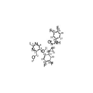 COCc1nc(C)ncc1OC[C@@]1(C2C=CC(F)=C(F)C2)C[C@H]1C(=O)Nc1ccc(F)c(F)c1